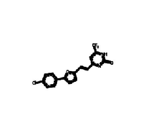 O=c1nc(C=Cc2ccc(-c3ccc(Cl)cc3)o2)cc(C(F)(F)F)[nH]1